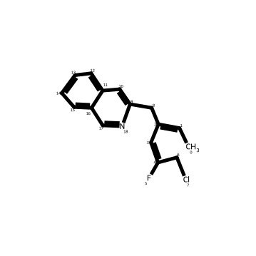 C/C=C(\C=C(\F)CCl)Cc1cc2ccccc2cn1